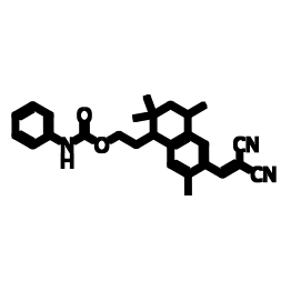 Cc1cc2c(cc1C=C(C#N)C#N)C(C)CC(C)(C)C2CCOC(=O)Nc1ccccc1